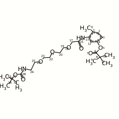 Cc1ccc(OC(=O)C(C)(C)C)cc1NC(=O)COCCOCCOCCNC(=O)OC(C)(C)C